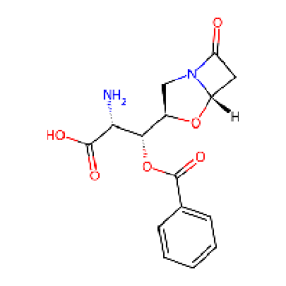 N[C@@H](C(=O)O)[C@@H](OC(=O)c1ccccc1)[C@H]1CN2C(=O)C[C@@H]2O1